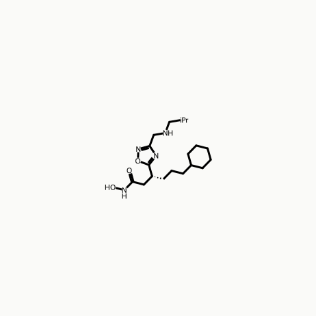 CC(C)CNCc1noc([C@H](CCCC2CCCCC2)CC(=O)NO)n1